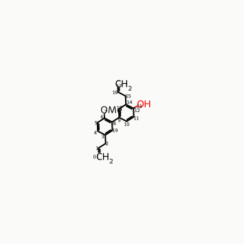 C=CCc1ccc(OC)c(-c2ccc(O)c(CC=C)c2)c1